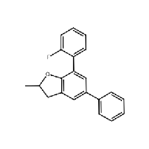 CC1Cc2cc(-c3ccccc3)cc(-c3ccccc3F)c2O1